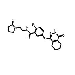 O=C(NCCN1CCCC1=O)c1cc(Cc2n[nH]c(=O)c3c2CCCC3)ccc1F